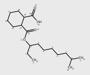 CCC(CCCCCC(C)C)OC(=O)C1CCCCC1C(=O)O